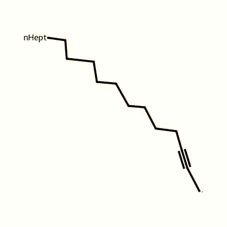 [CH2]C#CCCCCCCCCCCCCCCC[CH2]